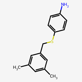 Cc1cc(C)cc(CSc2ccc(N)cc2)c1